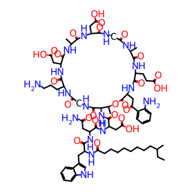 CCC(C)CCCCCCCCC(=O)NC(Cc1c[nH]c2ccccc12)C(=O)NC(CC(N)=O)C(=O)NC(CC(=O)O)C(=O)NC1C(=O)NCC(=O)NC(CCCN)C(=O)NC(CC(=O)O)C(=O)NC(C)C(=O)NC(CC(=O)O)C(=O)NCC(=O)NC(C)C(=O)NC(CCC(=O)O)C(=O)NC(CC(=O)c2ccccc2N)C(=O)OC1C